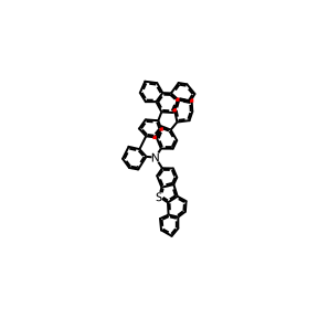 c1ccc(-c2ccc(N(c3ccc4c(c3)sc3c5ccccc5ccc43)c3ccccc3-c3ccc(-c4cc5ccccc5c5ccccc45)cc3)cc2)cc1